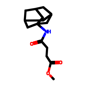 COC(=O)CCC(=O)NC12CC3CC(CC(C3)C1)C2